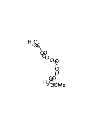 C=CC(=O)OCCCCOC(=O)Oc1ccc(-c2ccc(C(=O)/C=C/c3ccc(OCCCOC(=O)C(=C)CC(=O)OC)cc3)cc2)cc1